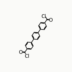 O=C(Cl)c1ccc(-c2ccc(-c3ccc(C(=O)Cl)cc3)cc2)cc1